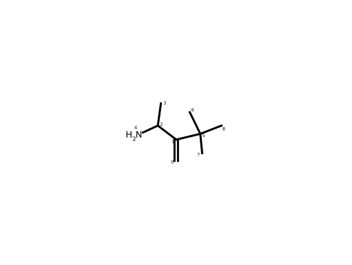 C=C(C(C)N)C(C)(C)C